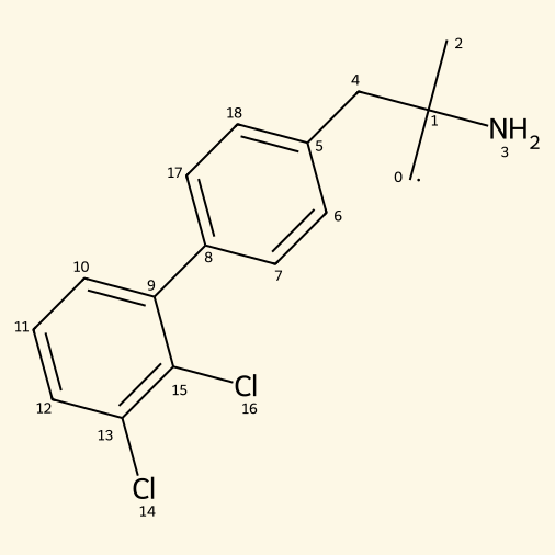 [CH2]C(C)(N)Cc1ccc(-c2cccc(Cl)c2Cl)cc1